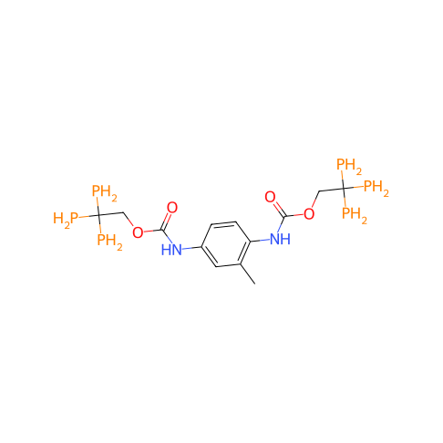 Cc1cc(NC(=O)OCC(P)(P)P)ccc1NC(=O)OCC(P)(P)P